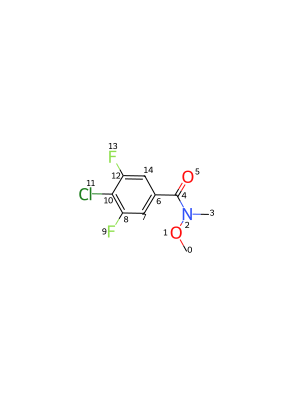 CON(C)C(=O)c1cc(F)c(Cl)c(F)c1